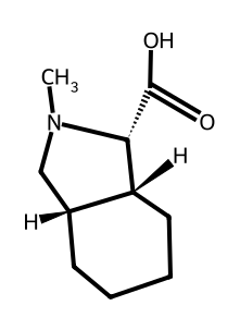 CN1C[C@H]2CCCC[C@H]2[C@H]1C(=O)O